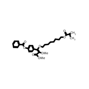 C=C(C)C(=O)OCCCCCCCCOC(=C(OC)C(=O)OC)c1ccc(OC(=O)c2ccccc2)cc1